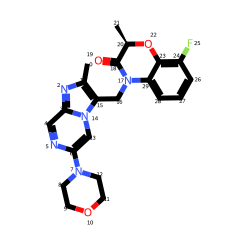 Cc1nc2cnc(N3CCOCC3)cn2c1CN1C(=O)[C@@H](C)Oc2c(F)cccc21